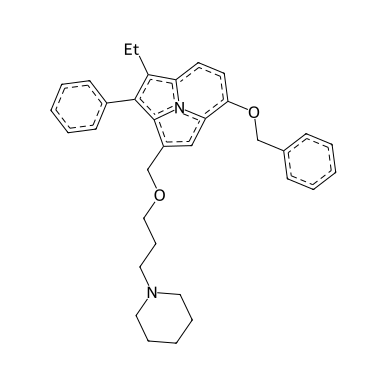 CCc1c(-c2ccccc2)c2c(COCCCN3CCCCC3)cc3c(OCc4ccccc4)ccc1n32